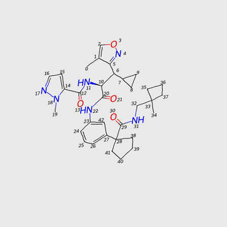 Cc1conc1C(C1CC1)[C@H](NC(=O)c1ccnn1C)C(=O)Nc1cccc(C2(C(=O)NCC3(C)CCC3)CCCC2)c1